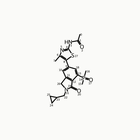 CC(=O)Nc1nc(C)c(-c2cc3c(c(P(C)(C)=O)c2)C(=O)N(CC2CC2)C3)s1